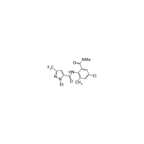 CCn1nc(C(F)(F)F)cc1C(=O)Nc1c(C)cc(Cl)cc1C(=O)NC